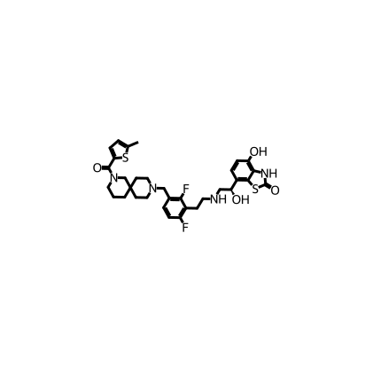 Cc1ccc(C(=O)N2CCCC3(CCN(Cc4ccc(F)c(CCNC[C@H](O)c5ccc(O)c6[nH]c(=O)sc56)c4F)CC3)C2)s1